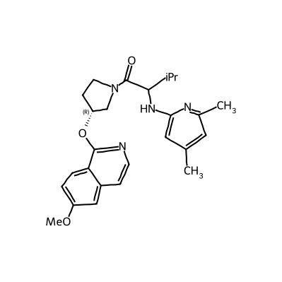 COc1ccc2c(O[C@@H]3CCN(C(=O)C(Nc4cc(C)cc(C)n4)C(C)C)C3)nccc2c1